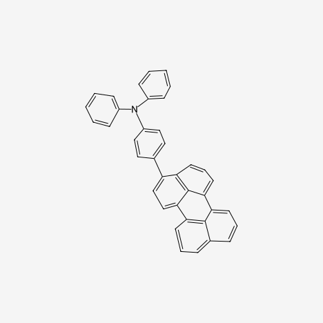 c1ccc(N(c2ccccc2)c2ccc(-c3ccc4c5cccc6cccc(c7cccc3c74)c65)cc2)cc1